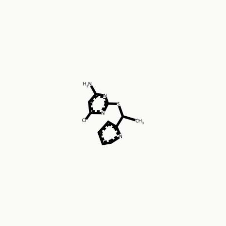 CC(Sc1nc(N)cc(Cl)n1)c1ccccn1